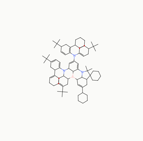 CC(C)(C)C1=CC=C(N2C3C=C(N(C4=CCC(C(C)(C)C)CC4)C4=C(C5CCCCC5)CC(C(C)(C)C)C=C4)C=C4C3B(C3C=C(C5CCCCC5)CC5C3N4C(C)(C)C53CCCCC3)C3CC(C(C)(C)C)=CCC32)C(C2=CCCCC2)C1